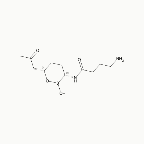 CC(=O)C[C@@H]1CC[C@H](NC(=O)CCCN)B(O)O1